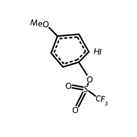 COc1ccc(OS(=O)(=O)C(F)(F)F)cc1.I